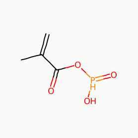 C=C(C)C(=O)O[PH](=O)O